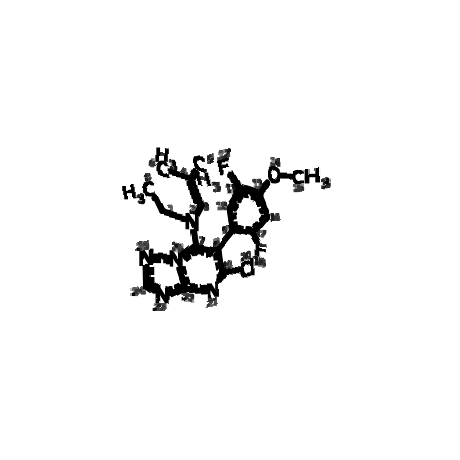 CCN(C=C(C)C)c1c(-c2cc(F)c(OC)cc2F)c(Cl)nc2ncnn12